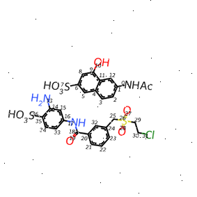 CC(=O)Nc1ccc2cc(S(=O)(=O)O)cc(O)c2c1.Nc1cc(NC(=O)c2cccc(CS(=O)(=O)CCCl)c2)ccc1S(=O)(=O)O